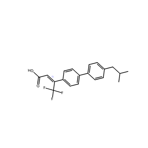 CC(C)Cc1ccc(-c2ccc(/C(=C/C(=O)O)C(F)(F)F)cc2)cc1